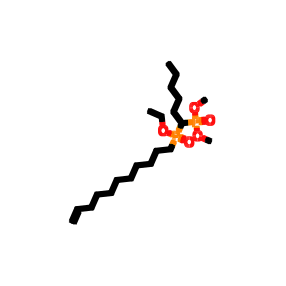 C=CCCCCCCCCCP(=O)(OCC)C(CCCCC)P(=O)(OC)OC